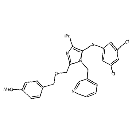 COc1ccc(COCc2nc(C(C)C)c(Sc3cc(Cl)cc(Cl)c3)n2Cc2cccnc2)cc1